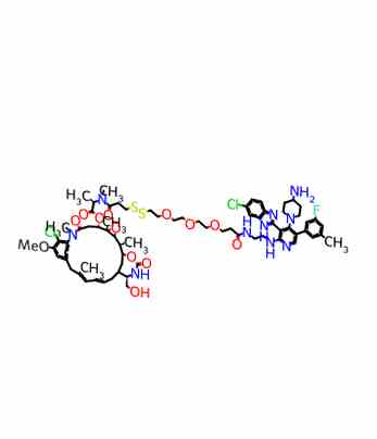 COc1cc2cc(c1Cl)N(C)C(=O)C[C@H](OC(=O)[C@@H](C)N(C)C(=O)CCSSCCOCCOCCOCCC(=O)NCCNc1ncc(-c3cc(C)cc(F)c3)c(N3CCC(N)CC3)c1-c1nc3ccc(Cl)cc3[nH]1)[C@]1(C)OC1[C@@H](C)C1CC(C/C=C/C=C(\C)C2)[C@H](CO)NC(=O)O1